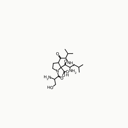 CC(C)CC(N)C(=O)C1(C(=O)O)C(C(=O)C(N)C(C)C)CCN1C(=O)C(N)CO